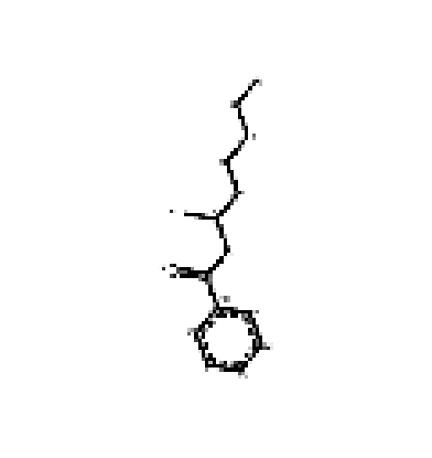 CCCCCC(I)CC(=O)c1ccccc1